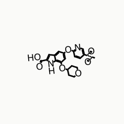 CS(=O)(=O)c1ccc(Oc2cc(OC3CCOCC3)c3[nH]c(C(=O)O)cc3c2)nc1